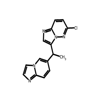 CC(c1ccc2nccn2c1)c1cnc2ccc(Cl)nn12